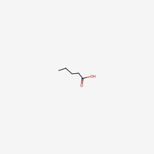 C[CH]CCC(=O)O